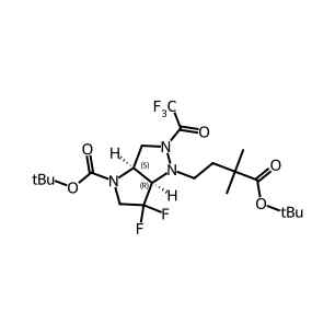 CC(C)(C)OC(=O)N1CC(F)(F)[C@H]2[C@@H]1CN(C(=O)C(F)(F)F)N2CCC(C)(C)C(=O)OC(C)(C)C